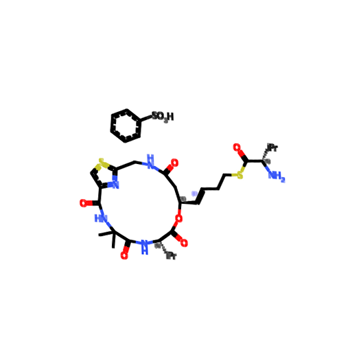 CC(C)[C@H](N)C(=O)SCC/C=C/[C@@H]1CC(=O)NCc2nc(cs2)C(=O)NC(C)(C)C(=O)N[C@@H](C(C)C)C(=O)O1.O=S(=O)(O)c1ccccc1